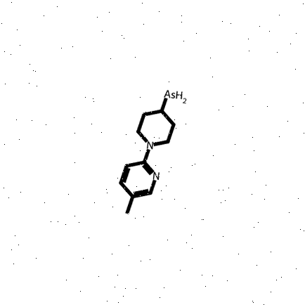 Cc1ccc(N2CCC([AsH2])CC2)nc1